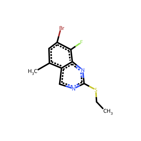 CCSc1ncc2c(C)cc(Br)c(F)c2n1